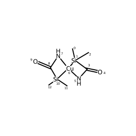 C[Si]1(C)C(=O)[NH][Cu]12[NH]C(=O)[Si]2(C)C